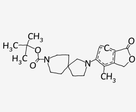 Cc1c(N2CCC3(CCN(C(=O)OC(C)(C)C)CC3)C2)ccc2c1COC2=O